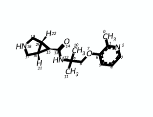 Cc1ncccc1OCC(C)(C)NC(=O)[C@H]1[C@@H]2CNC[C@@H]21